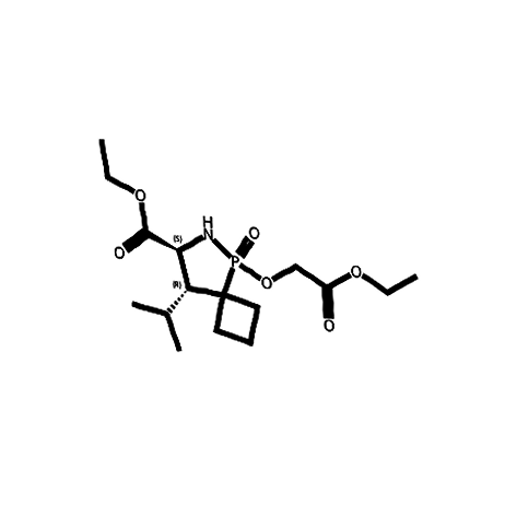 CCOC(=O)COP1(=O)N[C@H](C(=O)OCC)[C@@H](C(C)C)C12CCC2